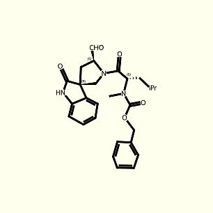 CC(C)C[C@@H](C(=O)N1C[C@]2(C[C@H]1C=O)C(=O)Nc1ccccc12)N(C)C(=O)OCc1ccccc1